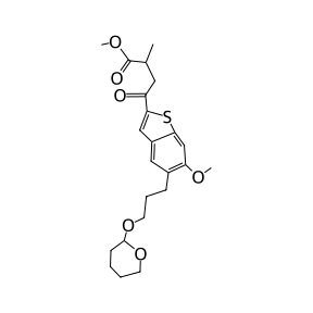 COC(=O)C(C)CC(=O)c1cc2cc(CCCOC3CCCCO3)c(OC)cc2s1